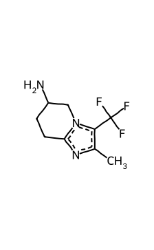 Cc1nc2n(c1C(F)(F)F)CC(N)CC2